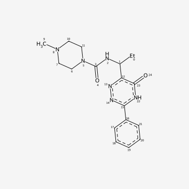 CCC(NC(=O)N1CCN(C)CC1)c1nnc(-c2ccccc2)[nH]c1=O